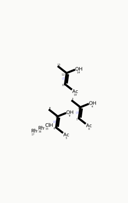 CC(=O)/C=C(/C)O.CC(=O)/C=C(/C)O.CC(=O)/C=C(/C)O.Cl.[Rh].[Rh]